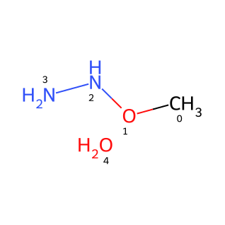 CONN.O